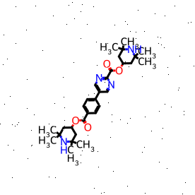 CC1(C)CC(OC(=O)c2ccc(-c3cnc(C(=O)OC4CC(C)(C)NC(C)(C)C4)nc3)cc2)CC(C)(C)N1